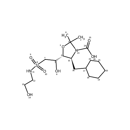 CC1(C)O[C@@H](C(O)CS(=O)(=O)NCCO)[C@H](CC2CCCCC2)N1C(=O)O